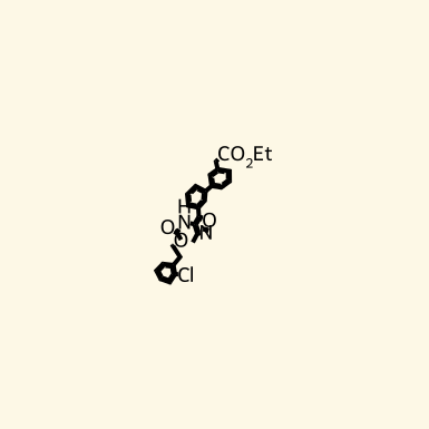 CCOC(=O)Cc1cccc(-c2cccc(-c3onc(C)c3NC(=O)OCCc3ccccc3Cl)c2)c1